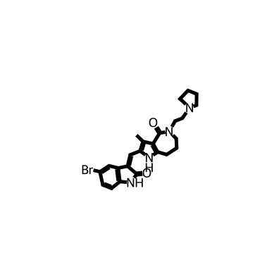 Cc1c(C=C2C(=O)Nc3ccc(Br)cc32)[nH]c2c1C(=O)N(CCN1CCCC1)CCC2